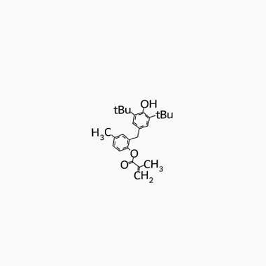 C=C(C)C(=O)Oc1ccc(C)cc1Cc1cc(C(C)(C)C)c(O)c(C(C)(C)C)c1